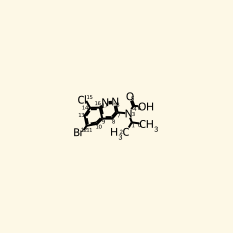 CC(C)N(C(=O)O)c1cc2cc(Br)cc(Cl)c2nn1